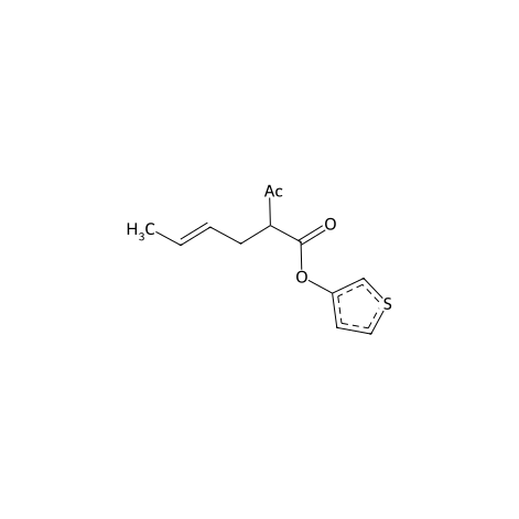 CC=CCC(C(C)=O)C(=O)Oc1ccsc1